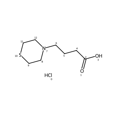 Cl.O=C(O)CCCN1CCSCC1